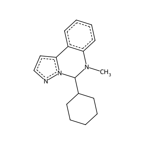 CN1c2ccccc2-c2ccnn2C1C1CCCCC1